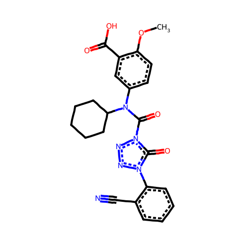 COc1ccc(N(C(=O)n2nnn(-c3ccccc3C#N)c2=O)C2CCCCC2)cc1C(=O)O